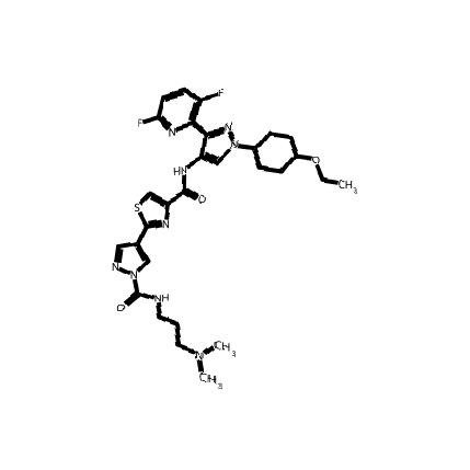 CCOC1CCC(n2cc(NC(=O)c3csc(-c4cnn(C(=O)NCCCN(C)C)c4)n3)c(-c3nc(F)ccc3F)n2)CC1